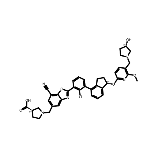 COc1nc(O[C@@H]2CCc3c(-c4cccc(-c5nc6cc(CN7CC[C@@H](C(=O)O)C7)cc(C#N)c6o5)c4Cl)cccc32)ccc1CN1CC[C@@H](O)C1